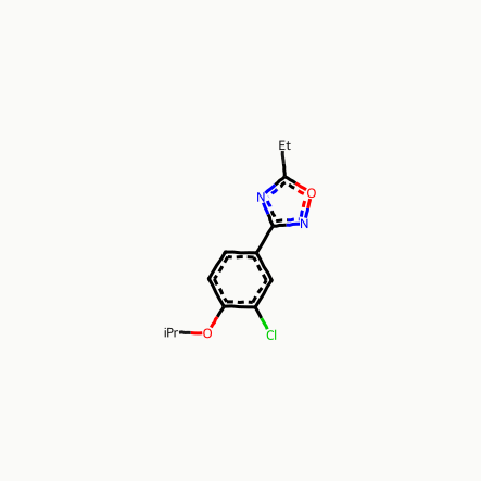 CCc1nc(-c2ccc(OC(C)C)c(Cl)c2)no1